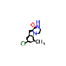 Cc1cc(Cl)cc2cc3n(c12)CCNC3=O